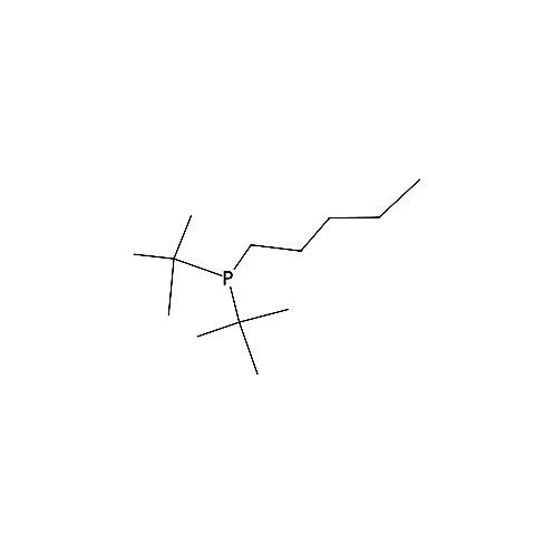 CCCCCP(C(C)(C)C)C(C)(C)C